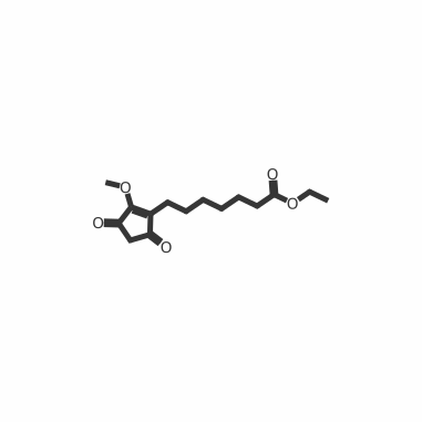 CCOC(=O)CCCCCCC1=C(OC)C(=O)CC1=O